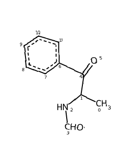 CC(N[C]=O)C(=O)c1ccccc1